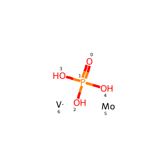 O=P(O)(O)O.[Mo].[V]